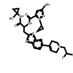 CC(C)(C)c1cc(C(=O)NC(Cc2nc3ccc(C4=CCN(CC(F)F)CC4)cc3o2)C(=O)NC2(C#N)CC2)n(C2CC2)n1